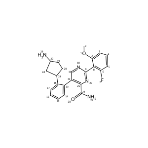 COc1cccc(F)c1-c1ncc(-c2ccccc2C2CCC(N)C2)c(C(N)=O)n1